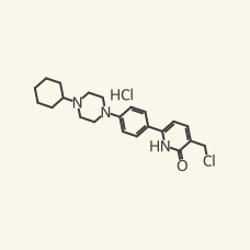 Cl.O=c1[nH]c(-c2ccc(N3CCN(C4CCCCC4)CC3)cc2)ccc1CCl